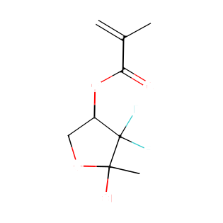 C=C(C)C(=O)OC1COC(C)(O)C1(F)F